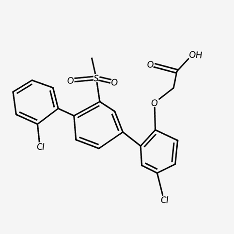 CS(=O)(=O)c1cc(-c2cc(Cl)ccc2OCC(=O)O)ccc1-c1ccccc1Cl